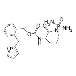 NP(N)(=O)N1CCC[C@H](NC(=O)OCc2ccccc2Cc2ccco2)C1=O